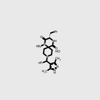 CCCCN1C(=O)[C@H](CC(C)C)NC(=O)C12CCN(C(CCC)c1c(C)n[nH]c1C)CC2.Cl